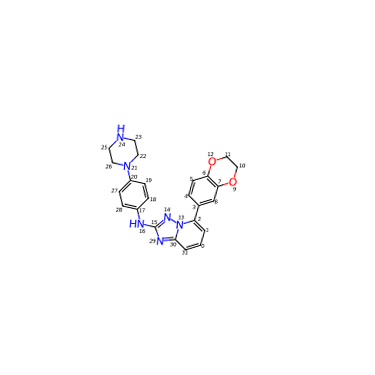 c1cc(-c2ccc3c(c2)OCCO3)n2nc(Nc3ccc(N4CCNCC4)cc3)nc2c1